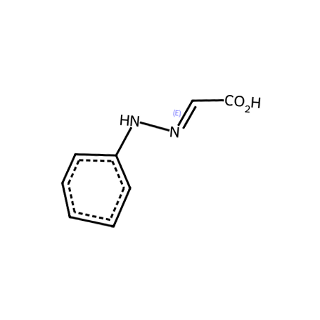 O=C(O)/C=N/Nc1ccccc1